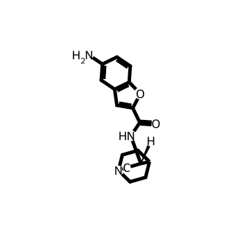 Nc1ccc2oc(C(=O)N[C@H]3CN4CCC3CC4)cc2c1